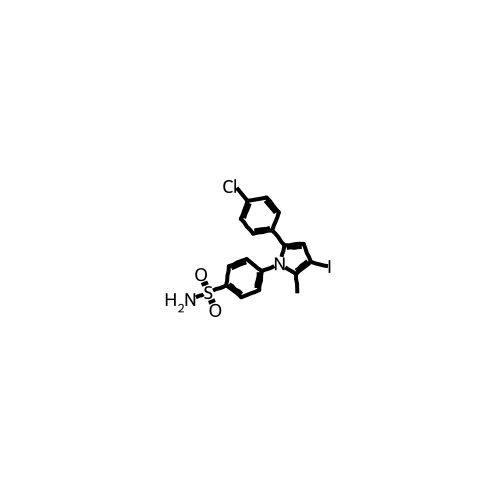 Cc1c(I)cc(-c2ccc(Cl)cc2)n1-c1ccc(S(N)(=O)=O)cc1